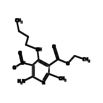 CCCCNc1c(C(=O)OCC)c(C)nc(N)c1[N+](=O)[O-]